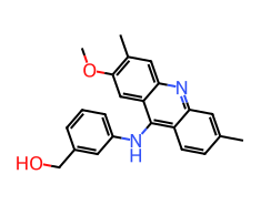 COc1cc2c(Nc3cccc(CO)c3)c3ccc(C)cc3nc2cc1C